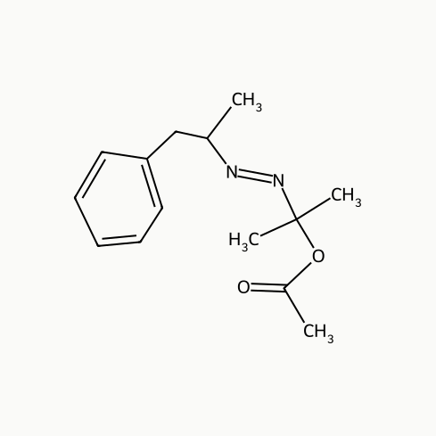 CC(=O)OC(C)(C)N=NC(C)Cc1ccccc1